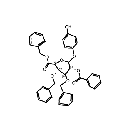 O=C(O[C@H]1C(Oc2ccc(O)cc2)O[C@H](C(=O)OCc2ccccc2)[C@@H](OCc2ccccc2)[C@@H]1OCc1ccccc1)c1ccccc1